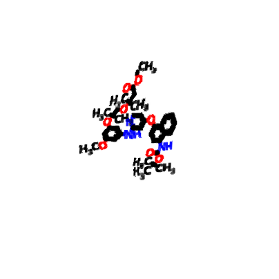 CCOC(=O)CC(C)(C)OCC(C)(C)Oc1cc(Nc2cc(Oc3ccc(NC(=O)OC(C)(C)C)c4ccccc34)ccn2)cc(OC)c1